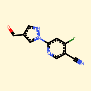 N#Cc1cnc(-n2cc(C=O)cn2)cc1Cl